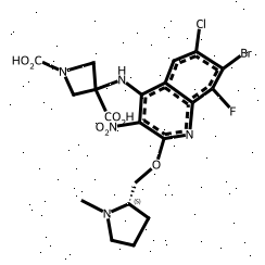 CN1CCC[C@H]1COc1nc2c(F)c(Br)c(Cl)cc2c(NC2(C(=O)O)CN(C(=O)O)C2)c1[N+](=O)[O-]